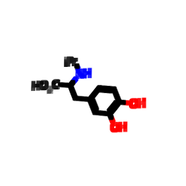 CC(C)NC(Cc1ccc(O)c(O)c1)C(=O)O